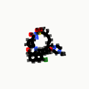 CCO[C@]1(CN2CCN(CC)CC2)/C=C/C[C@H](C)[C@@H](C)S(=O)(=O)NC(=O)c2ccc3c(c2)N(C[C@@H]2CC[C@H]21)C[C@@]1(CCCc2cc(Cl)ccc21)CO3